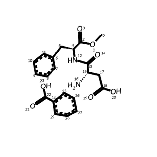 COC(=O)[C@H](Cc1ccccc1)NC(=O)[C@@H](N)CC(=O)O.O=C(O)c1ccccc1